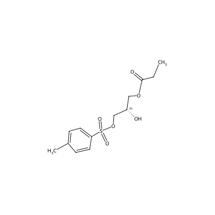 CCC(=O)OC[C@H](O)COS(=O)(=O)c1ccc(C)cc1